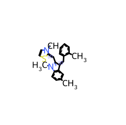 Cc1ccc2c(c1)/C(=C/c1ccccc1C)C(/C=C1\SC=CN1C)=[N+]2C